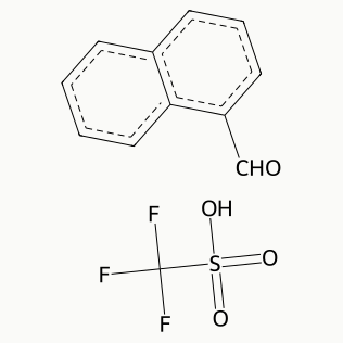 O=Cc1cccc2ccccc12.O=S(=O)(O)C(F)(F)F